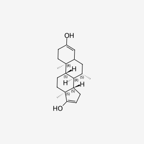 C[C@H]1CC2C=C(O)CC[C@]2(C)[C@H]2CC[C@]3(C)C(O)=CC[C@H]3[C@H]12